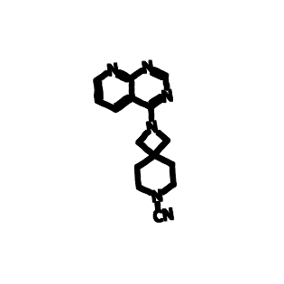 N#CN1CCC2(CC1)CN(c1ncnc3ncccc13)C2